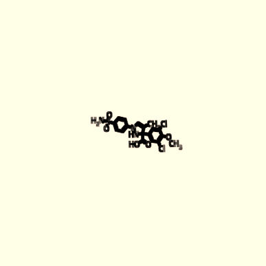 COc1c(Cl)cc(C2(C(=O)O)NN(c3ccc(S(N)(=O)=O)cc3)C=C2C)cc1Cl